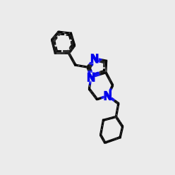 c1ccc(Cc2ncc3n2CCN(CC2CCCCC2)C3)cc1